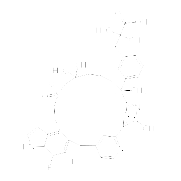 Cn1nc2nc1-c1cc(ccn1)Cc1c(F)c(F)c3[nH]ccc3c1CCS(=O)(=O)CC(C)(C)CCC[C@]2(C)c1cccc(CC(C)(C)C(=O)O)c1